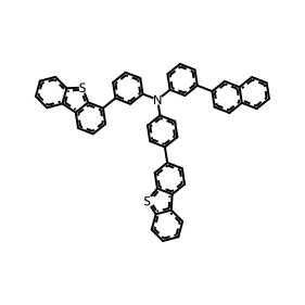 c1cc(-c2ccc3ccccc3c2)cc(N(c2ccc(-c3ccc4c(c3)sc3ccccc34)cc2)c2cccc(-c3cccc4c3sc3ccccc34)c2)c1